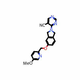 COc1ccc(COc2ccc3c(c2)CN(c2ncncc2C#N)C3)nc1